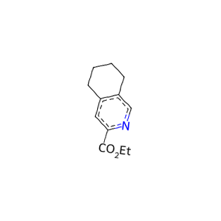 CCOC(=O)c1cc2c(cn1)CCCC2